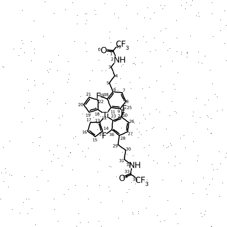 O=C(NCCCc1ccc(F)[c]([Ti]([C]2=CC=CC2)([C]2=CC=CC2)[c]2c(F)ccc(CCCNC(=O)C(F)(F)F)c2F)c1F)C(F)(F)F